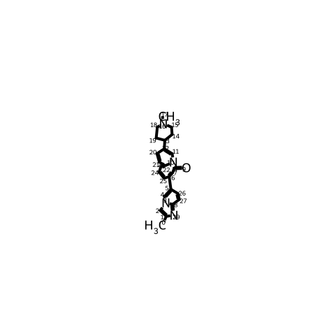 Cc1cn2cc(C3=C\C(=O)N4C=C(C5CCN(C)CC5)C=C\C4=C/C=C/3)ccc2n1